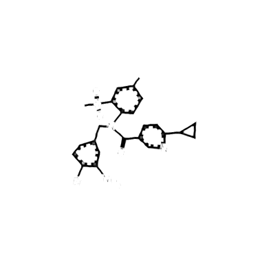 Cc1ccc(N(Cc2ccc(Br)c([N+](=O)[O-])c2)C(=O)c2ccc(C3CC3)nc2)c(S(C)(=O)=O)c1